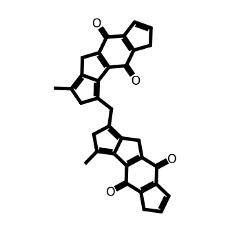 CC1=C2CC3=C(C(=O)C4=C(C=CC4)C3=O)C2=C(CC2=C3CC4=C(C(=O)C5=C(C=CC5)C4=O)C3=C(C)C2)C1